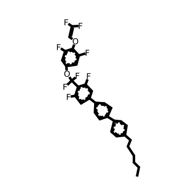 CCCCCCc1ccc(-c2ccc(-c3cc(F)c(C(F)(F)Oc4cc(F)c(OC=C(F)F)c(F)c4)c(F)c3)cc2)cc1